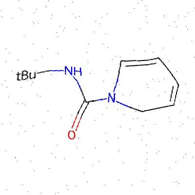 CC(C)(C)NC(=O)N1C=CC=CC1